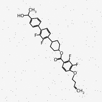 C=CCCOc1ccc(C(=O)OC2CCC(c3ccc(-c4ccc(C(C)O)cc4)c(F)c3F)CC2)c(F)c1F